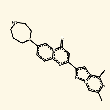 Cc1cn2nc(-c3cc(=O)n4cc(N5CCCNCC5)ccc4n3)cc2c(C)n1